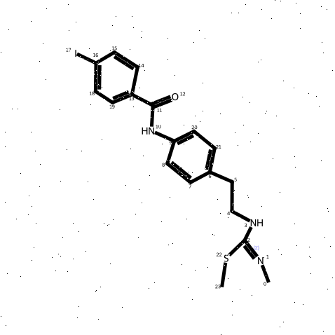 C/N=C(/NCCc1ccc(NC(=O)c2ccc(I)cc2)cc1)SC